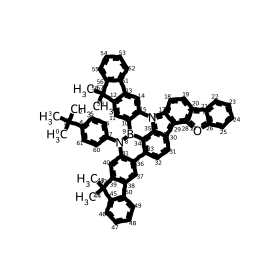 CC(C)(C)c1ccc(N2B3c4cc5c(cc4-n4c6ccc7c8ccccc8oc7c6c6ccc(c3c64)-c3cc4c(cc32)C(C)(C)c2ccccc2-4)-c2ccccc2C5(C)C)cc1